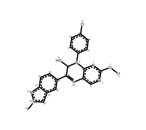 CCOc1ncc2c(n1)N(c1ccc(Cl)cc1)C(O)C(c1ccc3nn(C)cc3c1)=N2